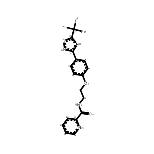 O=C(NCCOc1ccc(-c2noc(C(F)(F)F)n2)cc1)c1ccccn1